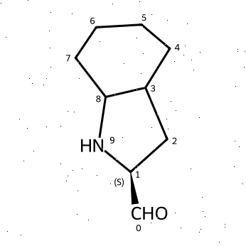 O=C[C@@H]1CC2CCCCC2N1